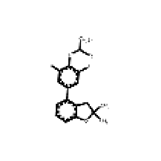 CCOC(=O)C(CC)Oc1c(F)cc(-c2cccc3c2CC(C)(C)O3)cc1F